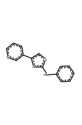 [c]1ccc(Nc2nc(-c3cccnc3)cs2)cc1